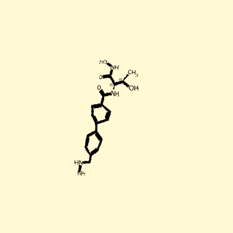 CCCNCc1ccc(-c2ccc(C(=O)N[C@H](C(=O)NO)[C@@H](C)O)cc2)cc1